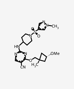 CO[C@H]1C[C@@](C)(COc2nc(NC3CCN(S(=O)(=O)c4cnn(C)c4)CC3)ncc2C#N)C1